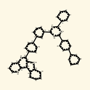 c1ccc(-c2ccc(-c3nc(-c4ccccc4)nc(-c4cccc(-c5ccc(-c6nc7cccnc7c7c6sc6ccccc67)cc5)c4)n3)cc2)cc1